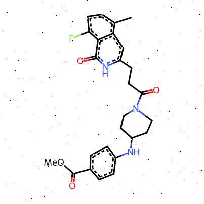 COC(=O)c1ccc(NC2CCN(C(=O)CCc3cc4c(C)ccc(F)c4c(=O)[nH]3)CC2)cc1